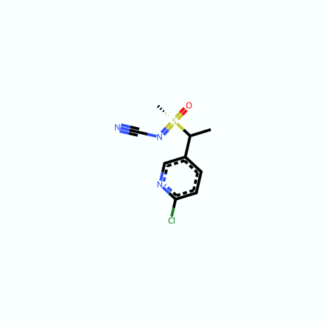 CC(c1ccc(Cl)nc1)[S@](C)(=O)=NC#N